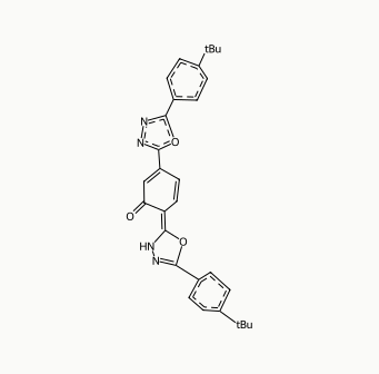 CC(C)(C)c1ccc(C2=NN/C(=C3/C=CC(c4nnc(-c5ccc(C(C)(C)C)cc5)o4)=CC3=O)O2)cc1